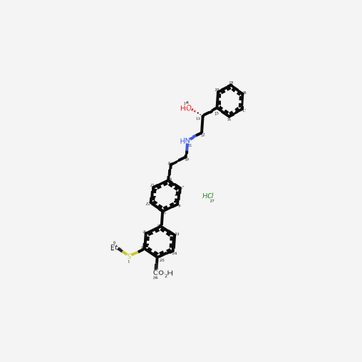 CCSc1cc(-c2ccc(CCNC[C@H](O)c3ccccc3)cc2)ccc1C(=O)O.Cl